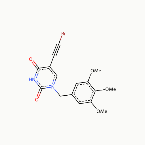 COc1cc(Cn2cc(C#CBr)c(=O)[nH]c2=O)cc(OC)c1OC